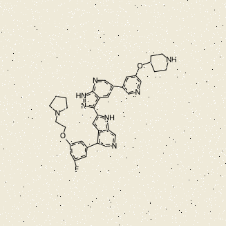 Fc1cc(OCCN2CCCC2)cc(-c2cncc3[nH]c(-c4n[nH]c5ncc(-c6cncc(OC7CCNCC7)c6)cc45)cc23)c1